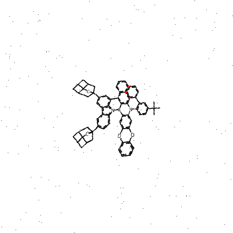 CC(C)(C)c1ccc(N2c3cc4c(cc3B3c5c2cc2ccccc2c5-c2cc(C56CC7CC8CC(C5)C87C6)cc5c6cc(C78CC9CC%10CC(C7)C%109C8)ccc6n3c25)Oc2ccccc2O4)c(-c2ccccc2)c1